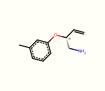 C=C[C@H](CN)Oc1cccc(C)c1